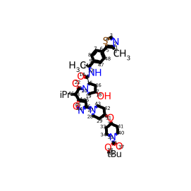 Cc1ncsc1-c1ccc([C@H](C)NC(=O)[C@@H]2C[C@@H](O)CN2C(=O)C(c2cc(N3CCC(OC4CCN(C(=O)OC(C)(C)C)CC4)CC3)no2)C(C)C)cc1